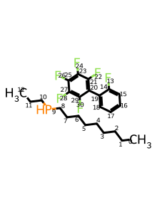 CCCCCCCCCPCCC.Fc1ccccc1-c1c(F)c(F)c(F)c(F)c1F